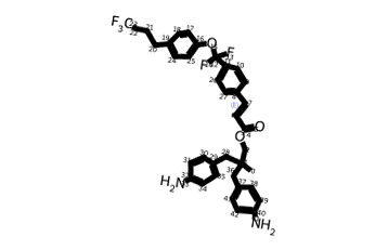 [CH2]C(COC(=O)/C=C/c1ccc(C(F)(F)Oc2ccc(CCCC(F)(F)F)cc2)cc1)(Cc1ccc(N)cc1)Cc1ccc(N)cc1